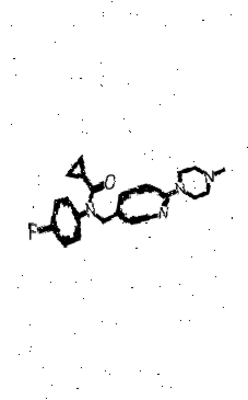 CN1CCN(c2ccc(CN(C(=O)C3CC3)c3ccc(F)cc3)cn2)CC1